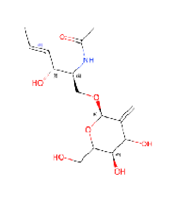 C=C1C(O)[C@@H](O)C(CO)O[C@H]1OC[C@H](NC(C)=O)[C@H](O)/C=C/C